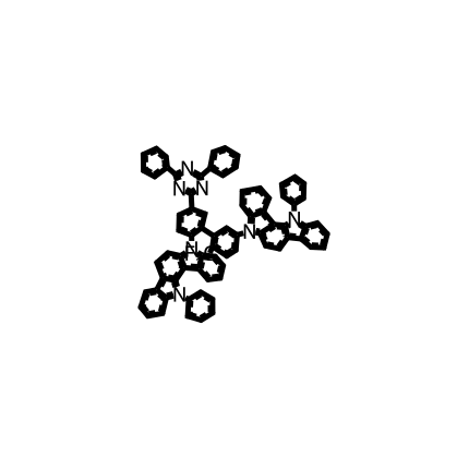 FC(F)(F)c1ccc(-n2c3ccccc3c3c2ccc2c4ccccc4n(-c4ccccc4)c23)cc1-c1cc(-c2nc(-c3ccccc3)nc(-c3ccccc3)n2)ccc1-n1c2ccccc2c2c1ccc1c3ccccc3n(-c3ccccc3)c12